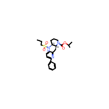 CCCS(=O)(=O)N[C@H]1CCCN(C(=O)OC(C)C)[C@H]1Cc1cccc(-c2ccccc2)n1